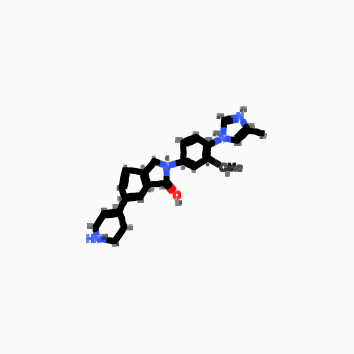 COc1cc(N2Cc3ccc(C4=CCNCC4)cc3C2=O)ccc1-n1cnc(C)c1